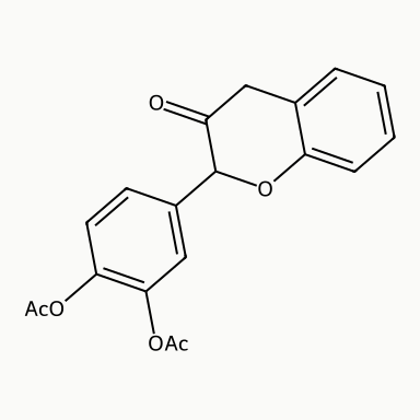 CC(=O)Oc1ccc(C2Oc3ccccc3CC2=O)cc1OC(C)=O